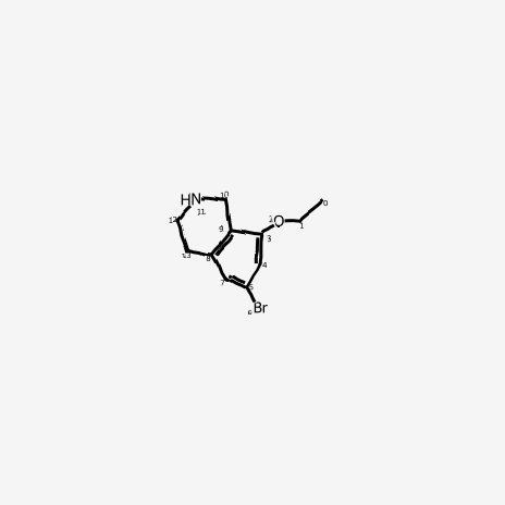 CCOc1cc(Br)cc2c1CNCC2